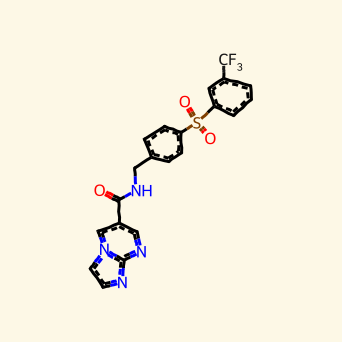 O=C(NCc1ccc(S(=O)(=O)c2cccc(C(F)(F)F)c2)cc1)c1cnc2nccn2c1